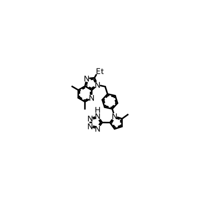 CCc1nc2c(C)cc(C)nc2n1Cc1ccc(-n2c(C)ccc2-c2nnn[nH]2)cc1